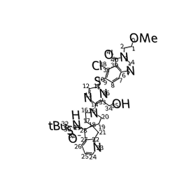 COCCn1cnc2ccc(Sc3cnc(N4CCC5(CC4)Cc4ncccc4[C@H]5N[S+]([O-])C(C)(C)C)c(CO)n3)c(Cl)c2c1=O